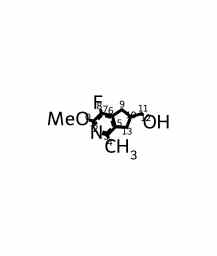 COc1nc(C)c2c(c1F)CC(CO)C2